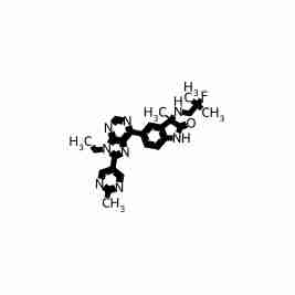 CCn1c(-c2cnc(C)nc2)nc2c(-c3ccc4c(c3)[C@@](C)(NCC(C)(C)F)C(=O)N4)ncnc21